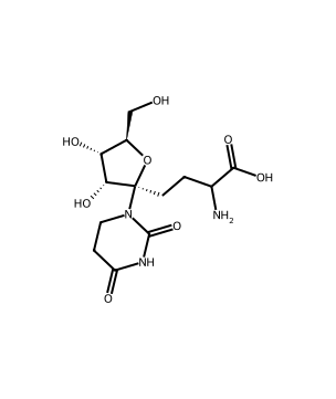 NC(CC[C@@]1(N2CCC(=O)NC2=O)O[C@H](CO)[C@@H](O)[C@H]1O)C(=O)O